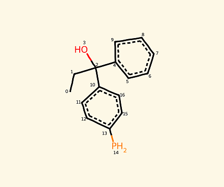 CCC(O)(c1ccccc1)c1ccc(P)cc1